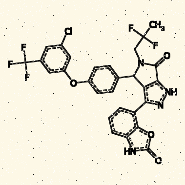 CC(F)(F)CN1C(=O)c2[nH]nc(-c3cccc4[nH]c(=O)oc34)c2C1c1ccc(Oc2cc(Cl)cc(C(F)(F)F)c2)cc1